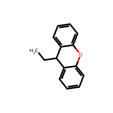 [CH2]CC1c2ccccc2Oc2ccccc21